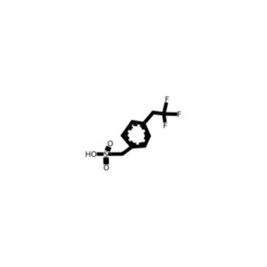 O=S(=O)(O)Cc1ccc(CC(F)(F)F)cc1